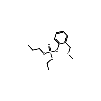 CCCSP(=O)(OCC)Oc1ccccc1CSC